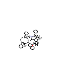 C=C(/C(=C\C=C/C)N1c2ccccc2N2CCCCN3c4ccccc4N4c5ccccc5C(=CC21)CC34)C1c2c([n+](C)nn2Cc2ccccc2)-c2pnp(Cc3ccccc3)c21